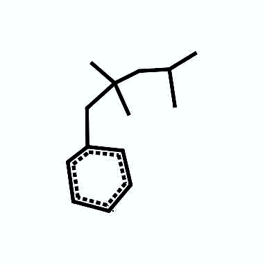 CC(C)CC(C)(C)Cc1cc[c]cc1